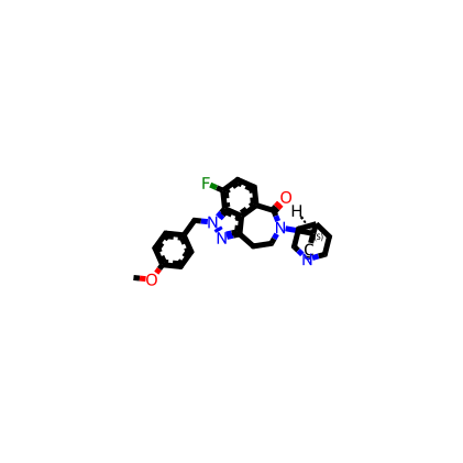 COc1ccc(Cn2nc3c4c(ccc(F)c42)C(=O)N([C@@H]2CN4CCC2CC4)CC3)cc1